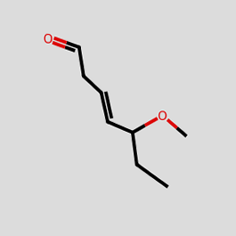 CCC(/C=C/CC=O)OC